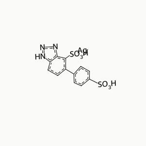 O=S(=O)(O)c1ccc(-c2ccc3[nH]nnc3c2S(=O)(=O)O)cc1.[Ag]